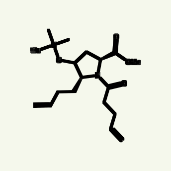 C=CCCC(=O)N1[C@H](C(=O)OC)CC(O[Si](C)(C)C(C)(C)C)[C@@H]1CCC=C